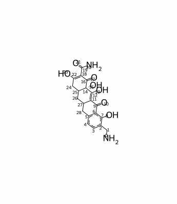 NCc1ccc2c(c1O)C(=O)C1=C(O)[C@]3(O)C(=O)C(C(N)=O)=C(O)CC3CC1C2